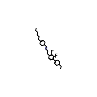 CCCCCCC1=CCC(/C=C/CCc2ccc(C3=CCC(CC)CC3)c(F)c2F)CC1